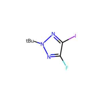 CC(C)(C)n1nc(F)c(I)n1